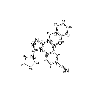 N#Cc1ccc2c(c1)c(=O)n(Cc1ccccc1)c1nnc(N3CCCC3)n21